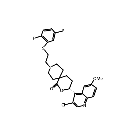 COc1ccc2ncc(Cl)c([C@H]3CCC4(CCN(CCSc5cc(F)ccc5F)CC4)C(=O)O3)c2c1